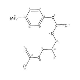 CSc1ccc(OC(=O)OCC(C)COC(=O)C(C)C)cc1